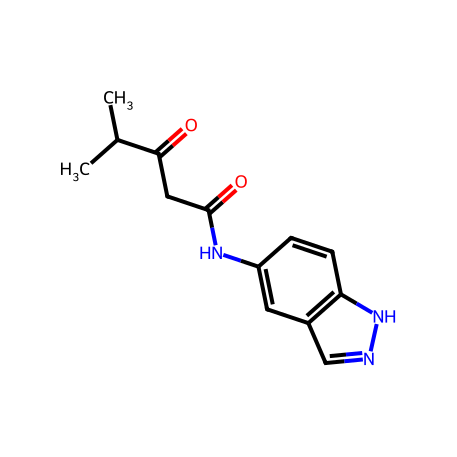 CC(C)C(=O)CC(=O)Nc1ccc2[nH]ncc2c1